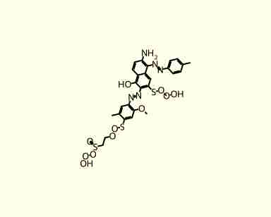 COc1cc(SOOCCS(=O)OOO)c(C)cc1N=Nc1c(SOOO)cc2c(N=Nc3ccc(C)cc3)c(N)ccc2c1O